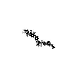 O=C1CCC(N2C(=O)c3ccc(CN4CCC(n5cc(NC(=O)C6=CON(c7ccnc(NCC8CC8)c7)C6)c(C(F)F)n5)CC4)c(Br)c3C2=O)C(=O)N1